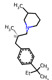 CCC(C)(C)c1ccc(C[C@H](C)CN2CCCC(C)C2)cc1